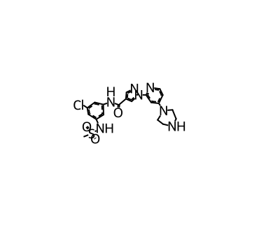 CS(=O)(=O)Nc1cc(Cl)cc(NC(=O)c2cnn(-c3cc(N4CCNCC4)ccn3)c2)c1